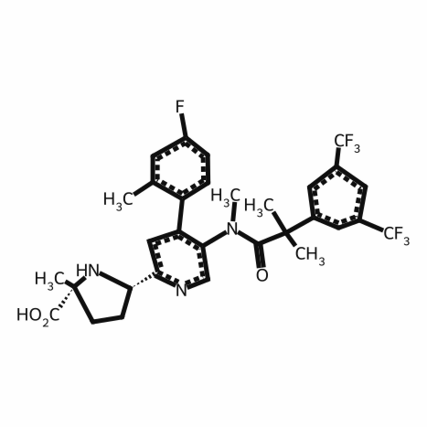 Cc1cc(F)ccc1-c1cc([C@@H]2CC[C@](C)(C(=O)O)N2)ncc1N(C)C(=O)C(C)(C)c1cc(C(F)(F)F)cc(C(F)(F)F)c1